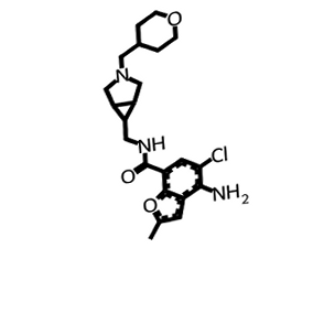 Cc1cc2c(N)c(Cl)cc(C(=O)NCC3C4CN(CC5CCOCC5)CC34)c2o1